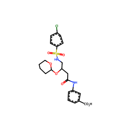 O=C(CC(CNS(=O)(=O)c1ccc(Cl)cc1)OC1CCCCO1)Nc1cccc(C(=O)O)c1